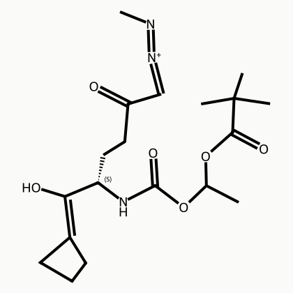 CN=[N+]=CC(=O)CC[C@H](NC(=O)OC(C)OC(=O)C(C)(C)C)C(O)=C1CCC1